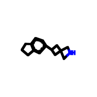 c1cc2c(cc1C1CC3(CNC3)C1)CCC2